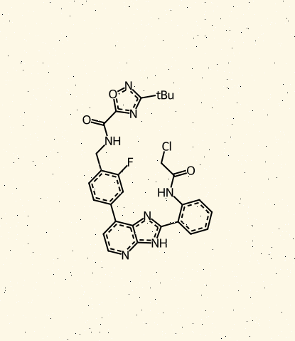 CC(C)(C)c1noc(C(=O)NCc2ccc(-c3ccnc4[nH]c(-c5ccccc5NC(=O)CCl)nc34)cc2F)n1